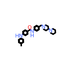 Cc1ccc(Nc2ccc(C(=O)Nc3ccc(CN4CCC(N5CCCCC5)CC4)cc3)cc2)cc1